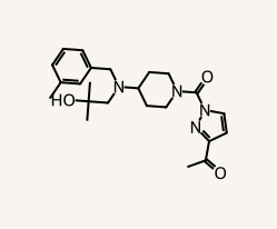 CC(=O)c1ccn(C(=O)N2CCC(N(Cc3cccc(C)c3)CC(C)(C)O)CC2)n1